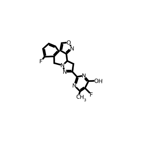 Cc1nc(C2=NN(Cc3ccccc3F)C(c3ccon3)C2)nc(O)c1F